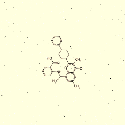 Cc1cc(C(C)Nc2ccccc2C(=O)O)c2oc(C3CCC(c4ccccc4)CC3)c(C)c(=O)c2c1